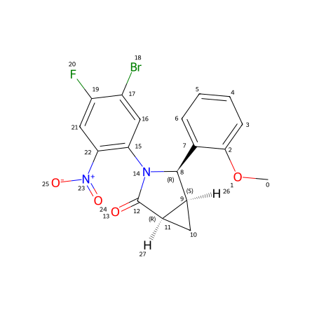 COc1ccccc1[C@H]1[C@H]2C[C@H]2C(=O)N1c1cc(Br)c(F)cc1[N+](=O)[O-]